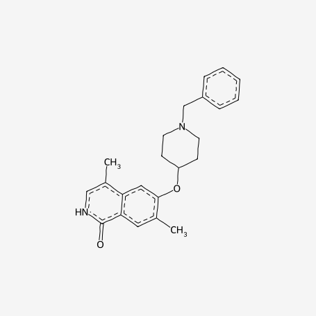 Cc1cc2c(=O)[nH]cc(C)c2cc1OC1CCN(Cc2ccccc2)CC1